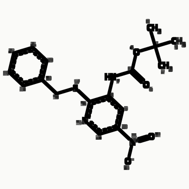 CC(C)(C)OC(=O)Nc1cc([N+](=O)[O-])cnc1SCc1ccccc1